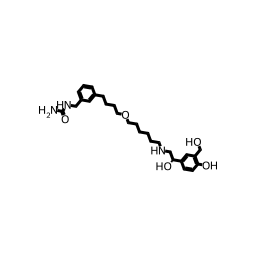 NC(=O)NCc1cccc(CCCCOCCCCCCNC[C@H](O)c2ccc(O)c(CO)c2)c1